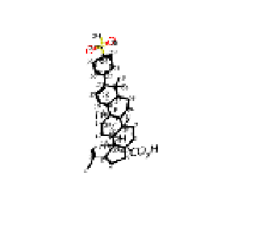 C=C(C)[C@@H]1CC[C@]2(C(=O)O)CC[C@]3(C)[C@H](CC[C@@H]4[C@@]5(C)CC=C(c6ccc(S(C)(=O)=O)cc6)C(C)(C)C5CC[C@]43C)[C@@H]12